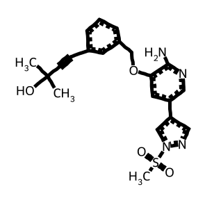 CC(C)(O)C#Cc1cccc(COc2cc(-c3cnn(S(C)(=O)=O)c3)cnc2N)c1